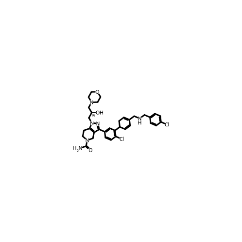 NC(=O)N1CCc2c(c(-c3ccc(Cl)c(C4C=CC(CNCc5ccc(Cl)cc5)=CC4)c3)nn2C[C@H](O)CN2CCOCC2)C1